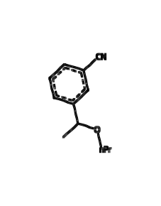 CCCOC(C)c1cccc(C#N)c1